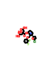 CN1C2CCC1[C@H](COc1cccc(F)c1F)[C@@H](c1ccc(Cl)o1)C2.O=C(O)CC(O)(CC(=O)O)C(=O)O